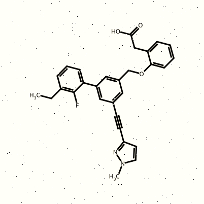 CCc1cccc(-c2cc(C#Cc3ccn(C)n3)cc(COc3ccccc3CC(=O)O)c2)c1F